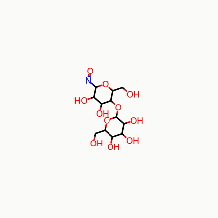 O=NC1OC(CO)C(OC2OC(CO)C(O)C(O)C2O)C(O)C1O